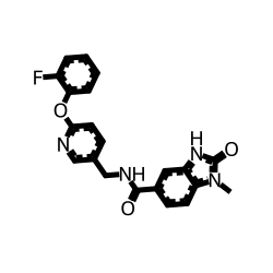 Cn1c(=O)[nH]c2cc(C(=O)NCc3ccc(Oc4ccccc4F)nc3)ccc21